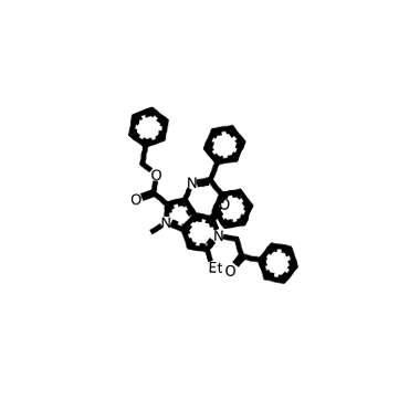 CCc1cc2c(c(N=C(c3ccccc3)c3ccccc3)c(C(=O)OCc3ccccc3)n2C)c(=O)n1CC(=O)c1ccccc1